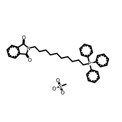 CS(=O)(=O)[O-].O=C1c2ccccc2C(=O)N1CCCCCCCCCC[P+](c1ccccc1)(c1ccccc1)c1ccccc1